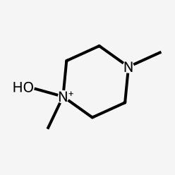 CN1CC[N+](C)(O)CC1